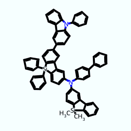 C[Si]1(C)c2ccccc2-c2cc(N(c3ccc(-c4ccccc4)cc3)c3ccc4c(c3)-c3cc(-c5ccc6c(c5)c5ccccc5n6-c5ccccc5)ccc3[Si]4(c3ccccc3)c3ccccc3)ccc21